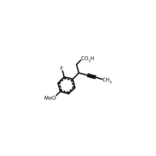 CC#CC(CC(=O)O)c1ccc(OC)cc1F